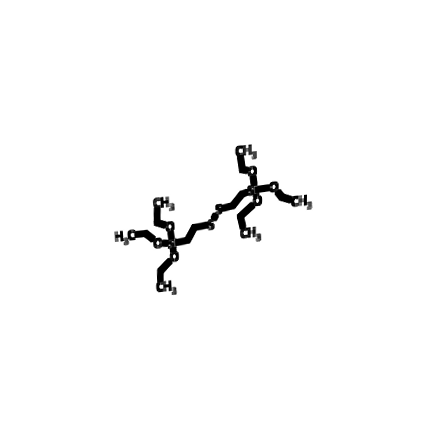 CCO[Si](CCSSCC[Si](OCC)(OCC)OCC)(OCC)OCC